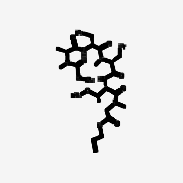 C=CCOC(=O)CN(C)C(=O)[C@@H](NC(=O)[C@H](CC(C)C)N(C)C(=O)[C@H](CC(C)C)NC(=O)[C@H](C)N(C)C(=O)OC(C)(C)C)[C@@H](C)OCCCC